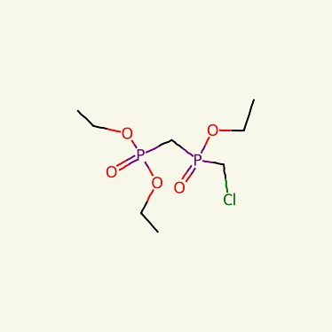 CCOP(=O)(CCl)CP(=O)(OCC)OCC